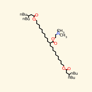 CCCCC(CCCC)CC(=O)OCCCCCCCCCCC(CCCCCCCCCCOC(=O)CC(CCCC)CCCC)C(=O)OCCN(C)C